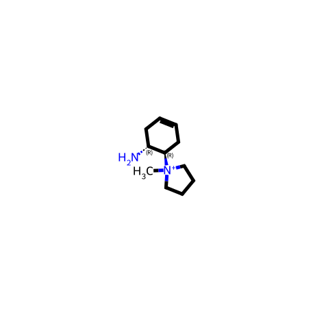 C[N+]1([C@@H]2CC=CC[C@H]2N)CCCC1